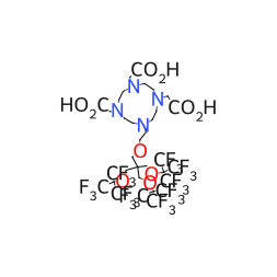 O=C(O)CN1CCN(CCOCC(COC(C(F)(F)F)(C(F)(F)F)C(F)(F)F)(COC(C(F)(F)F)(C(F)(F)F)C(F)(F)F)COC(C(F)(F)F)(C(F)(F)F)C(F)(F)F)CCN(CC(=O)O)CCN(CC(=O)O)CC1